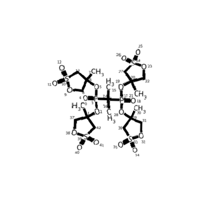 CC1(OP(=O)(OC2(C)COS(=O)(=O)C2)C(C)(C)P(=O)(OC2(C)COS(=O)(=O)C2)OC2(C)COS(=O)(=O)C2)COS(=O)(=O)C1